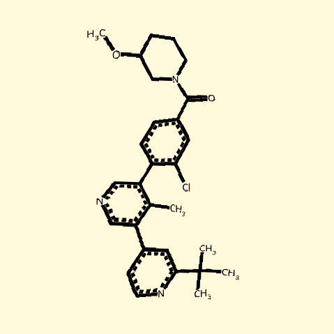 COC1CCCN(C(=O)c2ccc(-c3cncc(-c4ccnc(C(C)(C)C)c4)c3C)c(Cl)c2)C1